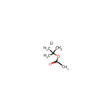 CC(=O)OC(C)(C)C.[Li]